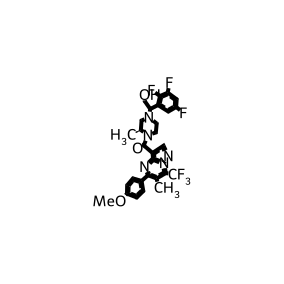 COc1ccc(-c2nc3c(C(=O)N4CCN(C(CO)c5cc(F)cc(F)c5F)C[C@H]4C)cnn3c(C(F)(F)F)c2C)cc1